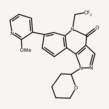 COc1ncccc1-c1ccc2c3c(cnn3C3CCCCO3)c(=O)n(CC(F)(F)F)c2c1